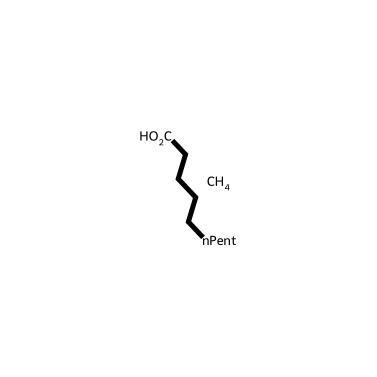 C.CCCCCCCCCC(=O)O